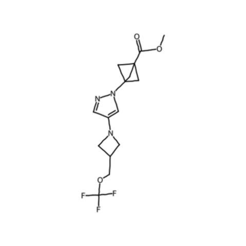 COC(=O)C12CC(n3cc(N4CC(COC(F)(F)F)C4)cn3)(C1)C2